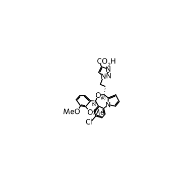 COc1cccc([C@H]2O[C@H](CCn3cc(C(=O)O)nn3)c3cccn3-c3ccc(Cl)cc32)c1OC